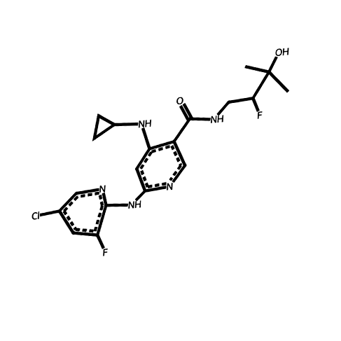 CC(C)(O)C(F)CNC(=O)c1cnc(Nc2ncc(Cl)cc2F)cc1NC1CC1